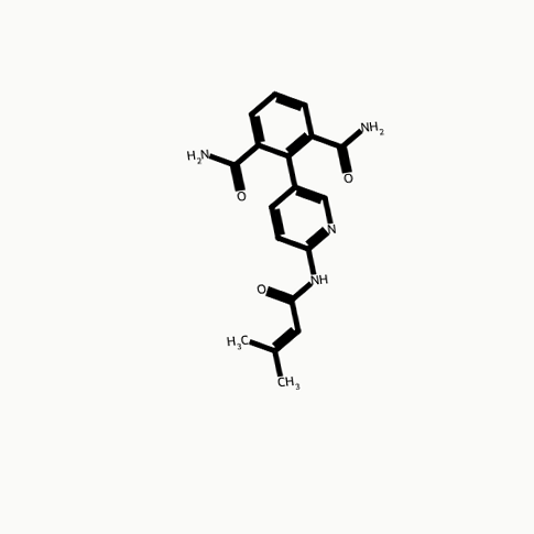 CC(C)=CC(=O)Nc1ccc(-c2c(C(N)=O)cccc2C(N)=O)cn1